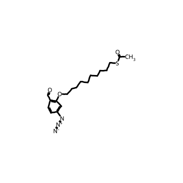 CC(=O)SCCCCCCCCCCOc1cc(N=[N+]=[N-])ccc1C=O